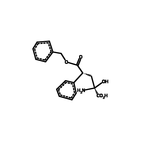 N[C@](O)(C[C@@H](C(=O)OCc1ccccc1)c1ccccc1)C(=O)O